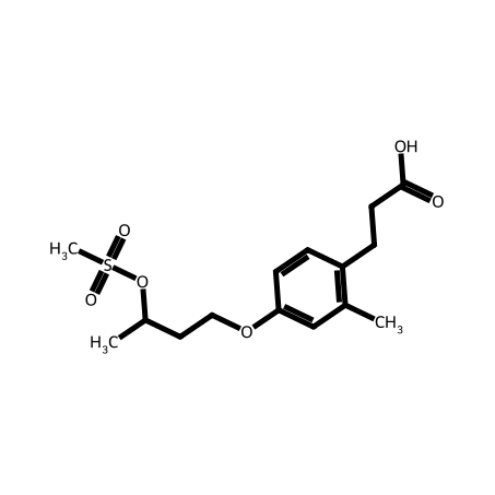 Cc1cc(OCCC(C)OS(C)(=O)=O)ccc1CCC(=O)O